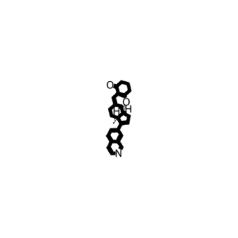 C[C@]12CCC3=CC4=C(CCCC4=O)O[C@H]3[C@@H]1CC=C2c1ccc2ccncc2c1